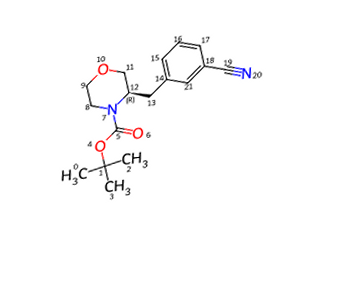 CC(C)(C)OC(=O)N1CCOC[C@H]1Cc1cccc(C#N)c1